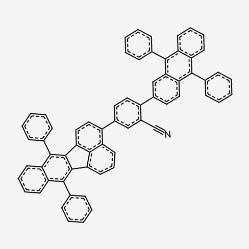 N#Cc1cc(-c2ccc3c4c(cccc24)-c2c-3c(-c3ccccc3)c3ccccc3c2-c2ccccc2)ccc1-c1ccc2c(-c3ccccc3)c3ccccc3c(-c3ccccc3)c2c1